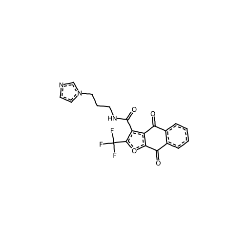 O=C1c2ccccc2C(=O)c2c1oc(C(F)(F)F)c2C(=O)NCCCn1ccnc1